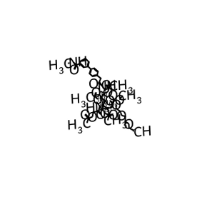 C#CCOCCOCCO[C@]1(C(=O)OC)C[C@H](OC(C)=O)[C@@H](NC(=O)COC(C)=O)[C@H]([C@H](OC(C)=O)[C@@H](CNC(=O)Cc2ccc(-c3cccc(C(=O)NC)c3)cc2)OC(C)=O)O1